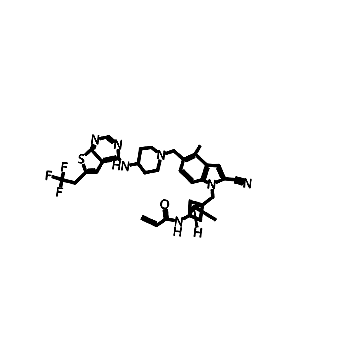 C=CC(=O)NC12CC(Cn3c(C#N)cc4c(C)c(CN5CCC(Nc6ncnc7sc(CC(F)(F)F)cc67)CC5)ccc43)(C1)[C@@H]2C